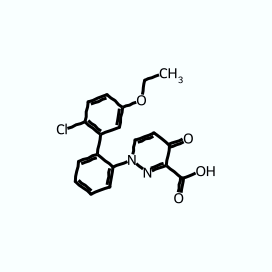 CCOc1ccc(Cl)c(-c2ccccc2-n2ccc(=O)c(C(=O)O)n2)c1